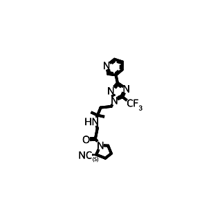 CC(C)(CCn1nc(-c2cccnc2)nc1C(F)(F)F)NCC(=O)N1CCC[C@H]1C#N